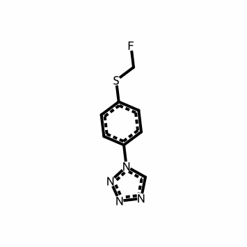 FCSc1ccc(-n2cnnn2)cc1